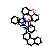 c1ccc(C2N=C(c3ccc4ccc5ccccc5c4c3)N=C(c3cccc4oc5cccc(-c6cccc7c6oc6ccccc67)c5c34)N2)cc1